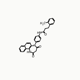 Cc1ccccc1CCC(=O)Nc1ccc(N2C(=O)CC(=O)Nc3c2ccc2ccccc32)cc1